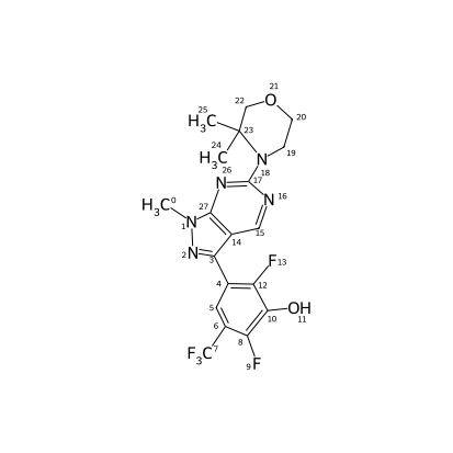 Cn1nc(-c2cc(C(F)(F)F)c(F)c(O)c2F)c2cnc(N3CCOCC3(C)C)nc21